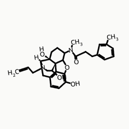 C=CCN1CC(O)[C@]23c4c5ccc(O)c4OC2C(N(C)C(=O)CCc2cccc(C)c2)CC[C@@]3(O)[C@H]1C5